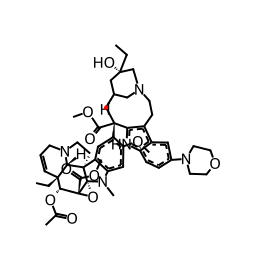 CC[C@]1(O)C[C@H]2CN(CCc3c([nH]c4ccc(N5CCOCC5)cc34)[C@@](C(=O)OC)(c3cc4c(cc3OC)N(C)[C@@]35O[C@]3(C(=O)OC)[C@H](OC(C)=O)[C@]3(CC)C=CCN6CC[C@]45[C@@H]63)C2)C1